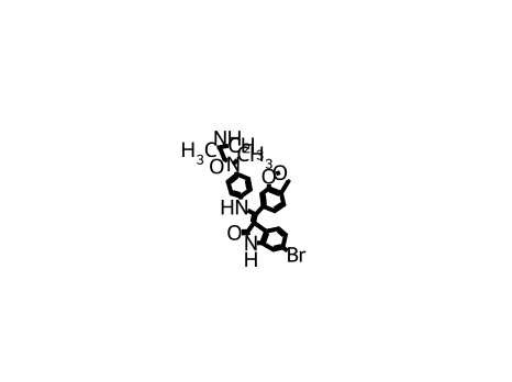 CN(C(=O)C(C)(C)N)c1ccc(N/C(=C2\C(=O)Nc3cc(Br)ccc32)c2ccc3c(c2)OOC3)cc1